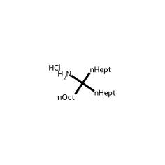 CCCCCCCCC(N)(CCCCCCC)CCCCCCC.Cl